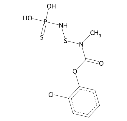 CN(SNP(O)(O)=S)C(=O)Oc1ccccc1Cl